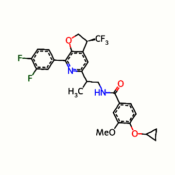 COc1cc(C(=O)NCC(C)c2cc3c(c(-c4ccc(F)c(F)c4)n2)OC[C@H]3C(F)(F)F)ccc1OC1CC1